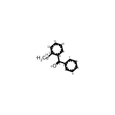 O=C(c1ccccc1)c1cccc[c]1[GeH2]